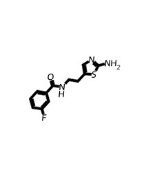 Nc1ncc(CCNC(=O)c2cccc(F)c2)s1